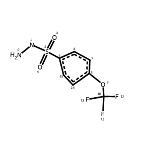 N[N]S(=O)(=O)c1ccc(OC(F)(F)F)cc1